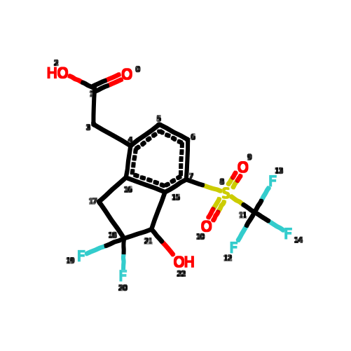 O=C(O)Cc1ccc(S(=O)(=O)C(F)(F)F)c2c1CC(F)(F)C2O